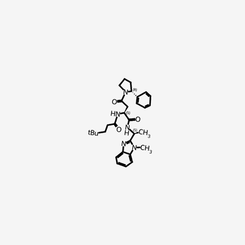 C[C@H](NC(=O)[C@H](CC(=O)N1CCC[C@@H]1c1ccccc1)NC(=O)CCC(C)(C)C)c1nc2ccccc2n1C